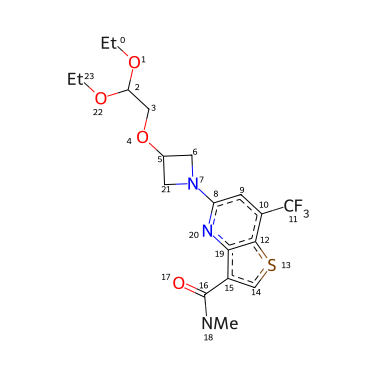 CCOC(COC1CN(c2cc(C(F)(F)F)c3scc(C(=O)NC)c3n2)C1)OCC